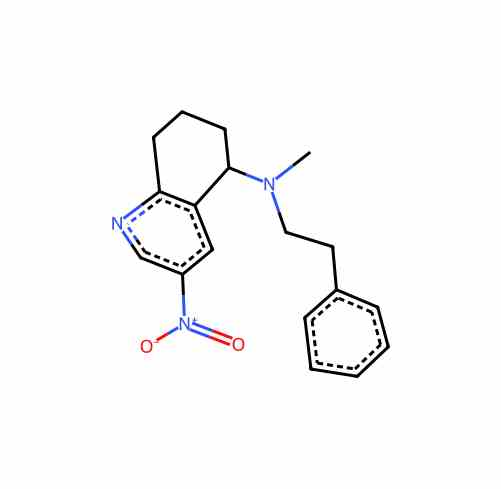 CN(CCc1ccccc1)C1CCCc2ncc([N+](=O)[O-])cc21